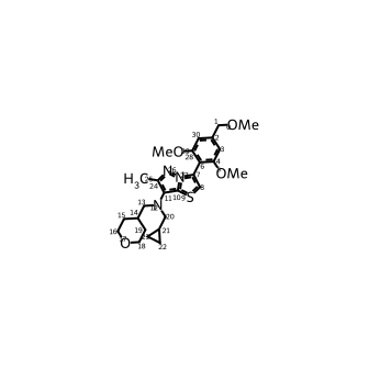 COCc1cc(OC)c(-c2csc3c(N(CC4CCOCC4)CC4CC4)c(C)nn23)c(OC)c1